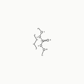 CCCC.COO[Si](=O)OOC